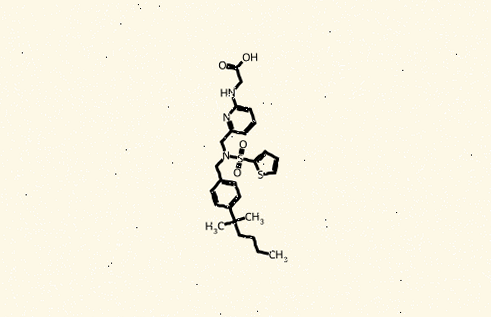 CCCCC(C)(C)c1ccc(CN(Cc2cccc(NCC(=O)O)n2)S(=O)(=O)c2cccs2)cc1